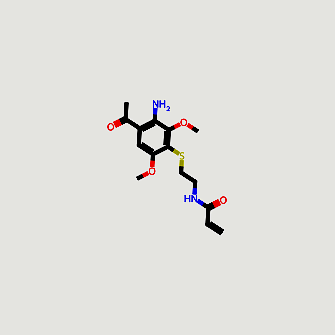 C=CC(=O)NCCSc1c(OC)cc(C(C)=O)c(N)c1OC